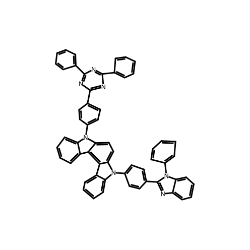 c1ccc(-c2nc(-c3ccccc3)nc(-c3ccc(-n4c5ccccc5c5c6c7ccccc7n(-c7ccc(-c8nc9ccccc9n8-c8ccccc8)cc7)c6ccc54)cc3)n2)cc1